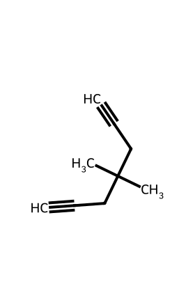 C#CCC(C)(C)CC#C